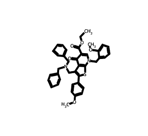 CCOC(=O)c1cn(Cc2ccccc2OC)c2sc(-c3ccc(OC)cc3)c(CN(Cc3ccccc3)Cc3ccccc3)c2c1=O